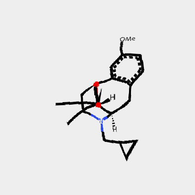 COc1ccc2c(c1)[C@]13CCN(CC4CC4)[C@H](C2)[C@@H]1CC(C)(C)OC3